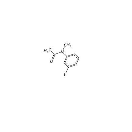 CC(=O)N(C)c1cccc(F)c1